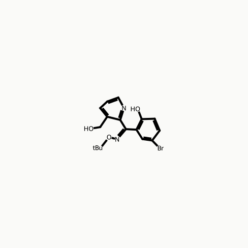 CC(C)(C)ON=C(c1cc(Br)ccc1O)c1ncccc1CO